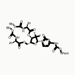 CCCCCOC(=O)Nc1ccn([C@@H]2O[C@H](COC(=O)[C@H](NC(=O)OC(C)(C)C)C(C)C)[C@@H](OC(=O)[C@@H](NC(=O)OC(C)(C)C)C(C)C)C2(F)F)c(=O)n1